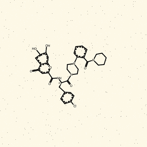 O=C(N[C@H](Cc1ccc(Cl)cc1)C(=O)N1CCN(c2ccccc2C(=O)N2CCCCC2)CC1)c1cc(=O)c2cc(O)c(O)cc2o1